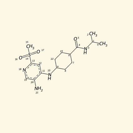 CC(C)NC(=O)C1CCC(Nc2cc(S(C)(=O)=O)ncc2N)CC1